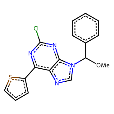 COC(c1ccccc1)n1cnc2c(-c3cccs3)nc(Cl)nc21